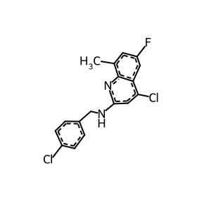 Cc1cc(F)cc2c(Cl)cc(NCc3ccc(Cl)cc3)nc12